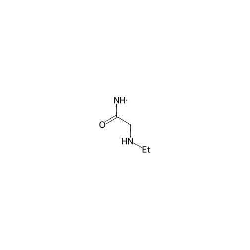 CCNCC([NH])=O